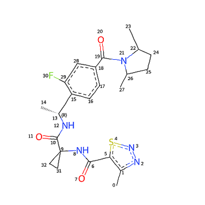 Cc1nnsc1C(=O)NC1(C(=O)N[C@H](C)c2ccc(C(=O)N3C(C)CCC3C)cc2F)CC1